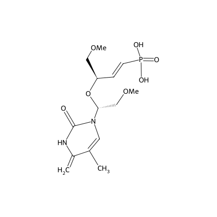 C=C1NC(=O)N([C@@H](COC)O[C@H](/C=C/P(=O)(O)O)COC)C=C1C